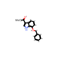 COC(=O)c1c[nH]c2c(OCc3ccccc3)cccc12